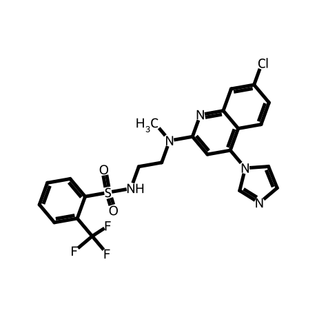 CN(CCNS(=O)(=O)c1ccccc1C(F)(F)F)c1cc(-n2ccnc2)c2ccc(Cl)cc2n1